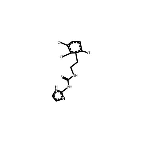 S=C(NCCc1c(Cl)ccc(Cl)c1Cl)Nc1ncc[nH]1